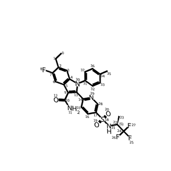 CCc1cc2c(cc1F)c(C(N)=O)c(-c1ccc(S(=O)(=O)N[C@@H](C)C(F)(F)F)cn1)n2-c1ccc(C)cc1